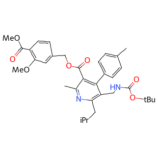 COC(=O)c1ccc(COC(=O)c2c(C)nc(CC(C)C)c(CNC(=O)OC(C)(C)C)c2-c2ccc(C)cc2)cc1OC